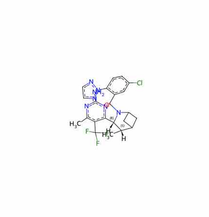 Cc1nc(N)nc([C@H]2[C@@H](C)C3CC(C3)N2C(=O)c2cc(Cl)ccc2-n2nccn2)c1C(F)(F)F